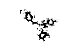 Cc1ccc(NC(=O)[C@](O)(CCCc2ccc(C(F)(F)F)cc2)c2ccc(F)cc2)cc1C